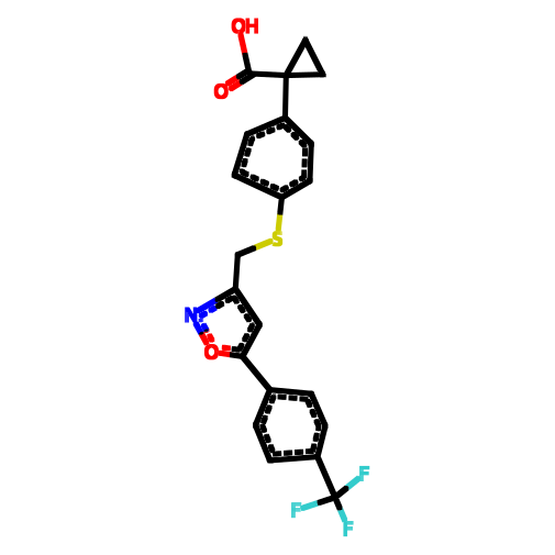 O=C(O)C1(c2ccc(SCc3cc(-c4ccc(C(F)(F)F)cc4)on3)cc2)CC1